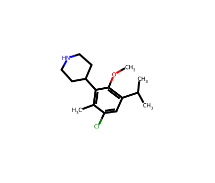 COc1c(C(C)C)cc(Cl)c(C)c1C1CCNCC1